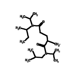 [CH2]C(CCC(=O)N(C(C)C)C(C)CC)C(=O)N(CC(C)C)C(C)C